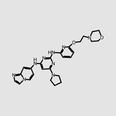 c1cc(Nc2nc(Nc3ccn4ccnc4c3)cc(N3CCCC3)n2)nc(OCCN2CCOCC2)c1